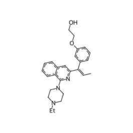 CC=C(c1cccc(OCCO)c1)c1cc2ccccc2c(N2CCN(CC)CC2)n1